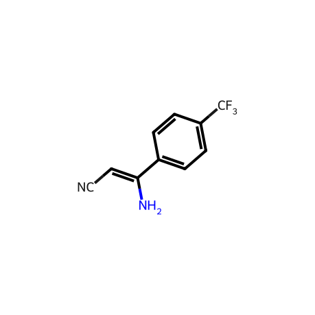 N#C/C=C(\N)c1ccc(C(F)(F)F)cc1